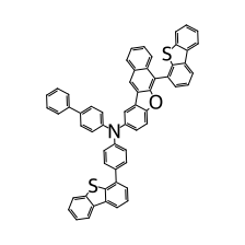 c1ccc(-c2ccc(N(c3ccc(-c4cccc5c4sc4ccccc45)cc3)c3ccc4oc5c(-c6cccc7c6sc6ccccc67)c6ccccc6cc5c4c3)cc2)cc1